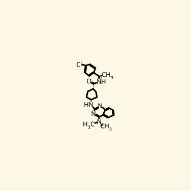 C[C@@H](NC(=O)[C@H]1CC[C@@H](Nc2nc(N(C)C)c3ccccc3n2)CC1)c1ccc(Cl)cc1